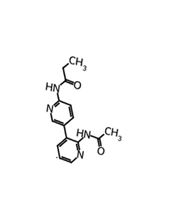 CCC(=O)Nc1ccc(-c2c[c]cnc2NC(C)=O)cn1